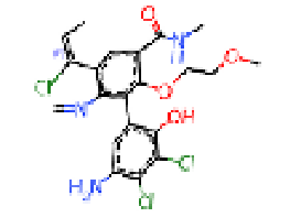 C=Nc1c(/C(Cl)=C\C)cc(C(=O)NC)c(OCCOC)c1-c1cc(N)c(Cl)c(Cl)c1O